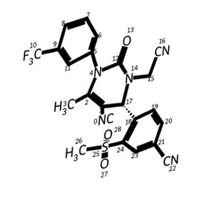 [C-]#[N+]C1=C(C)N(c2cccc(C(F)(F)F)c2)C(=O)N(CC#N)[C@@H]1c1ccc(C#N)cc1S(C)(=O)=O